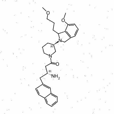 COCCCC1c2c(cccc2OC)CN1[C@@H]1CCCN(C(=O)C[C@H](N)Cc2ccc3ccccc3c2)C1